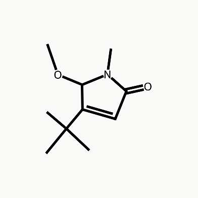 COC1C(C(C)(C)C)=CC(=O)N1C